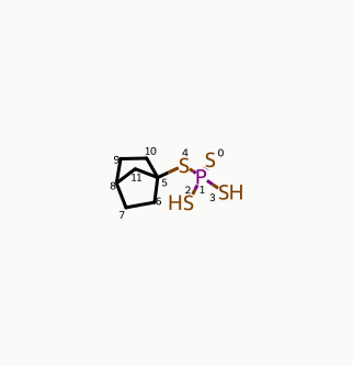 S=P(S)(S)SC12CCC(CC1)C2